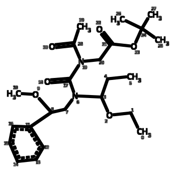 CCOC(CC)N(CC(OC)c1ccccc1)C(=O)N(CC(=O)OC(C)(C)C)C(C)=O